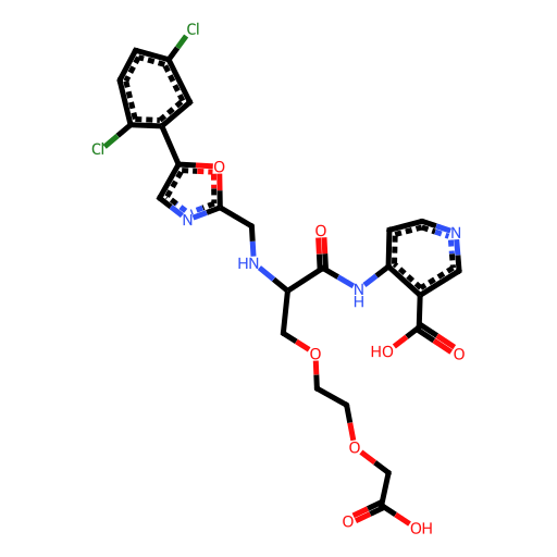 O=C(O)COCCOCC(NCc1ncc(-c2cc(Cl)ccc2Cl)o1)C(=O)Nc1ccncc1C(=O)O